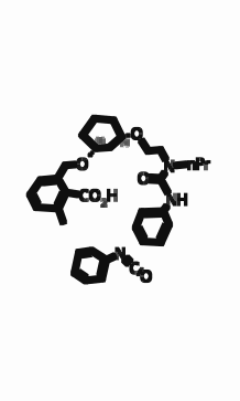 CCCN(CCO[C@H]1CCC[C@@H](OCc2cccc(C)c2C(=O)O)C1)C(=O)Nc1ccccc1.O=C=Nc1ccccc1